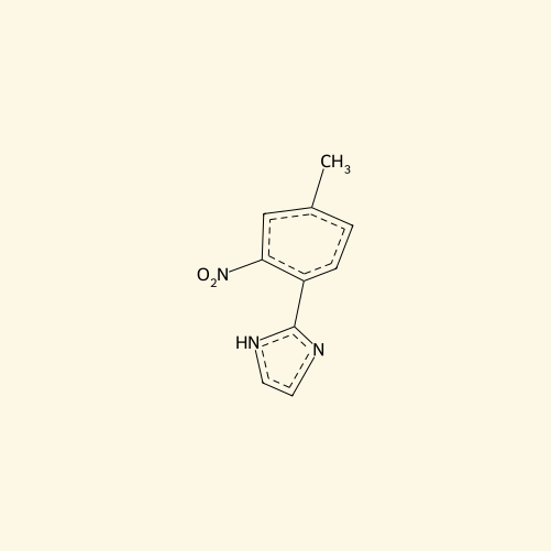 Cc1ccc(-c2ncc[nH]2)c([N+](=O)[O-])c1